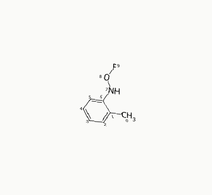 Cc1ccccc1NOF